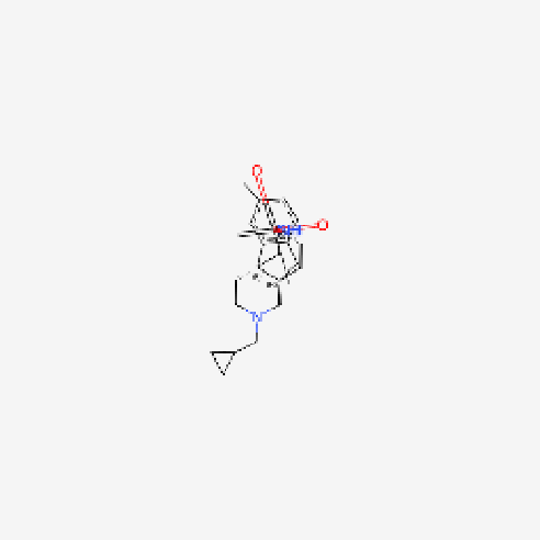 Cc1ccc2c(c1)[C@]13CCN(CC4CC4)C[C@]1(CC[C@@]1(C3)NC(=O)NC1=O)C2